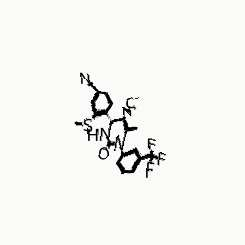 [C-]#[N+]C1=C(C)N(c2cccc(C(F)(F)F)c2)C(=O)N[C@@H]1c1ccc(C#N)cc1SC